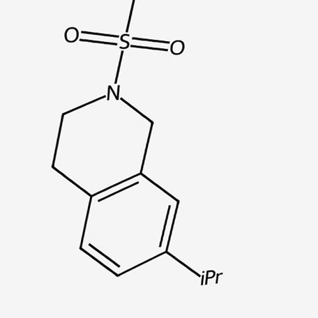 CC(C)c1ccc2c(c1)CN(S(C)(=O)=O)CC2